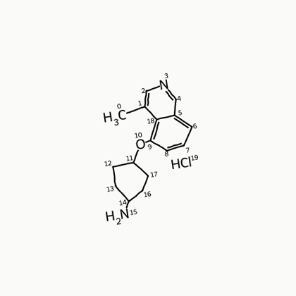 Cc1cncc2cccc(OC3CCC(N)CC3)c12.Cl